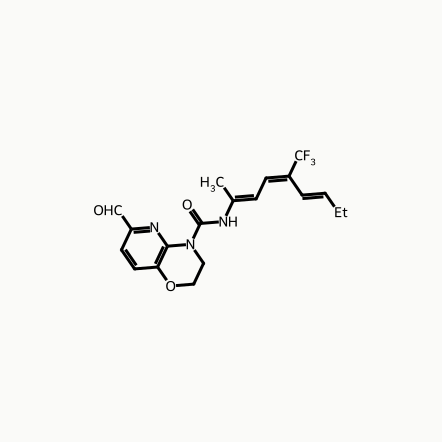 CC/C=C/C(=C\C=C(/C)NC(=O)N1CCOc2ccc(C=O)nc21)C(F)(F)F